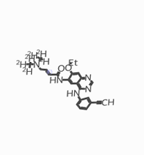 [2H]C([2H])([2H])N(C/C=C/C(=O)Nc1cc2c(Nc3cccc(C#C)c3)ncnc2cc1OCC)C([2H])([2H])[2H]